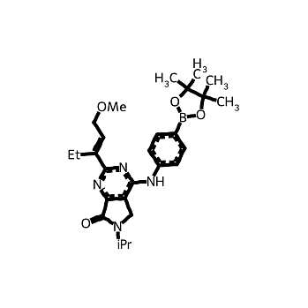 CC/C(=C\COC)c1nc(Nc2ccc(B3OC(C)(C)C(C)(C)O3)cc2)c2c(n1)C(=O)N(C(C)C)C2